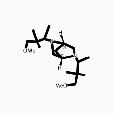 COCC(C)(C)C(C)N1C[C@@H]2C[C@H]1CN2C(C)C(C)(C)COC